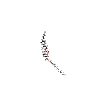 CCCCCCCCCCCCCCCCOC(C)c1ccc(OC(=O)c2ccc(-c3ccc(CCCCCC)cc3)cc2)cc1